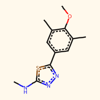 CNc1nnc(-c2cc(C)c(OC)c(C)c2)s1